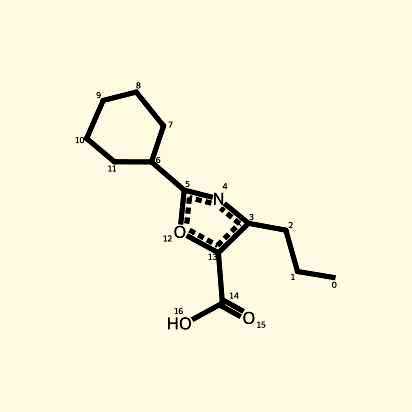 CCCc1nc(C2CCCCC2)oc1C(=O)O